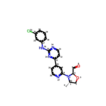 C[C@H]1COC(C=O)N1c1cc(-c2ccnc(Nc3cccc(Cl)c3)n2)ccn1